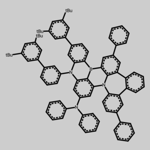 CC(C)(C)c1cc(-c2cccc(N3c4cc(-c5cc(C(C)(C)C)cc(C(C)(C)C)c5)ccc4B4c5cc(-c6ccccc6)cc6c5N(c5ccc(-c7ccccc7)cc5-c5ccccc5-6)c5cc(N(c6ccccc6)c6ccccc6)cc3c54)c2)cc(C(C)(C)C)c1